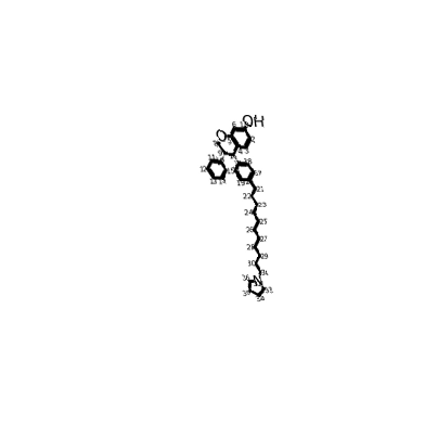 Oc1ccc2c(c1)OC[C@@H](c1ccccc1)[C@H]2c1ccc(CCCCCCCCCCCN2CCCC2)cc1